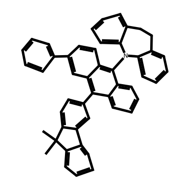 CC1(C)c2ccccc2-c2cc(-c3c4ccccc4c(N4c5ccccc5CCc5ccccc54)c4ccc(-c5ccccc5)cc34)ccc21